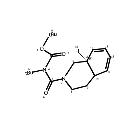 CC(C)(C)OC(=O)N(C(=O)N1CCC2C=CC=C[C@@H]2C1)C(C)(C)C